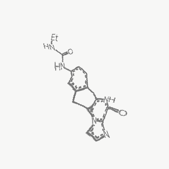 CCNC(=O)Nc1ccc2c(c1)Cc1c-2[nH]c(=O)c2nccn12